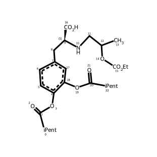 CCCC(C)C(=O)Oc1ccc(C[C@H](NCC(C)OC(=O)OCC)C(=O)O)cc1OC(=O)C(C)CCC